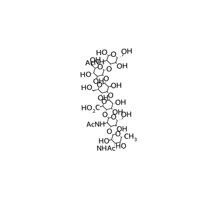 CC(=O)N[C@H]1[C@@H](O)[C@@H](C)O[C@@H](O[C@H]2[C@H](O)[C@@H](CO)O[C@H](O[C@H]3[C@H](O)[C@@H](O)[C@@H](O[C@@H]4[C@H](O)[C@@H](O[C@@H]5[C@@H](O[C@H]6[C@H](O)[C@@H](CO)O[C@@H](O)[C@@H]6NC(C)=O)O[C@H](CO)[C@@H](O)[C@@H]5O)O[C@H](CO)[C@H]4O)O[C@@H]3C(=O)O)[C@@H]2NC(C)=O)[C@@H]1O